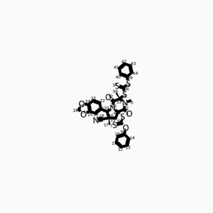 CN1C(=O)[C@@]2(SC(=S)Oc3ccccc3)C[C@](C)(C#N)C(c3ccc4c(c3)OCO4)N2C(=O)[C@]1(C)SC(=S)Sc1ccccc1